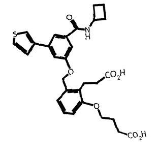 O=C(O)CCCOc1cccc(COc2cc(C(=O)NC3CCC3)cc(-c3ccsc3)c2)c1CCC(=O)O